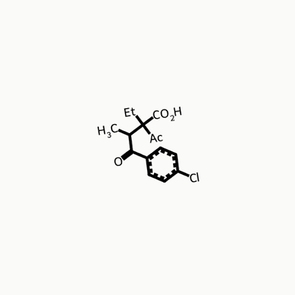 CCC(C(C)=O)(C(=O)O)C(C)C(=O)c1ccc(Cl)cc1